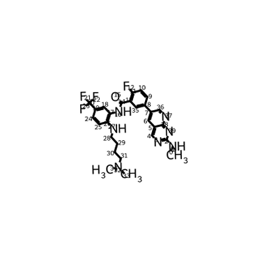 CNc1ncc2cc(-c3ccc(F)c(C(=O)Nc4cc(C(F)(F)F)ccc4NCCCCN(C)C)c3)cnc2n1